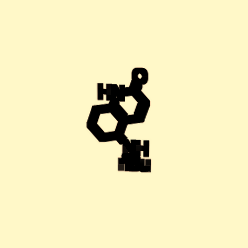 CCCCNC1CCCc2[nH]c(=O)ccc21